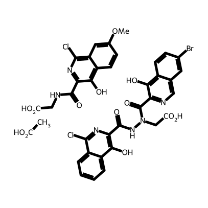 CC(=O)O.COc1ccc2c(O)c(C(=O)NCC(=O)O)nc(Cl)c2c1.O=C(O)CN(NC(=O)c1nc(Cl)c2ccccc2c1O)C(=O)c1ncc2cc(Br)ccc2c1O